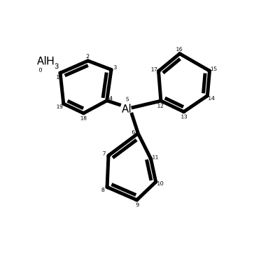 [AlH3].c1cc[c]([Al]([c]2ccccc2)[c]2ccccc2)cc1